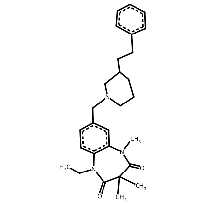 CCN1C(=O)C(C)(C)C(=O)N(C)c2cc(CN3CCCC(CCc4ccccc4)C3)ccc21